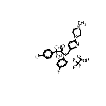 CN1CCN(c2ccc(CN(C(=O)C(C)(C)c3ccc(Cl)cc3)c3ccc(F)cc3)cn2)CC1.O=C(O)C(F)(F)F